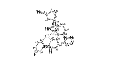 N#Cc1cncc(-c2cnc([C@@H](Cc3ccc(F)cc3)c3c(-c4cc(Cl)ccc4-n4cnnn4)cc[nH]c3=O)[nH]2)c1